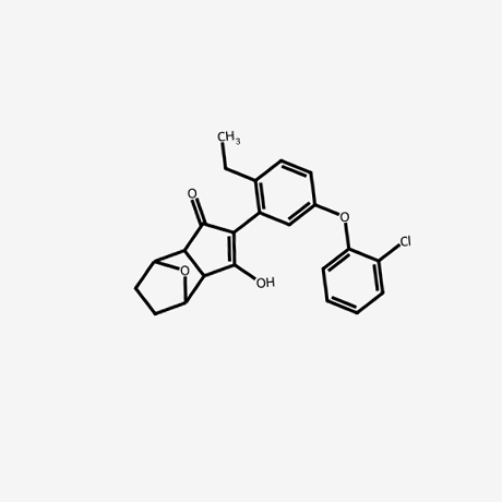 CCc1ccc(Oc2ccccc2Cl)cc1C1=C(O)C2C3CCC(O3)C2C1=O